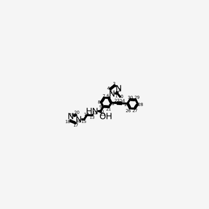 Cc1nccn1-c1ccc(C(O)NCCCn2ccnc2)cc1C#Cc1ccccc1